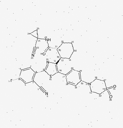 N#Cc1cc(F)ccc1-c1nc([C@@H]2CCCC[C@H]2C(=O)NC2(C#N)CC2)c(-c2ccc(N3CCS(=O)(=O)CC3)cc2)s1